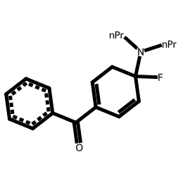 CCCN(CCC)C1(F)C=CC(C(=O)c2ccccc2)=CC1